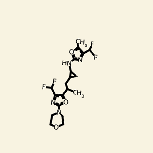 Cc1oc(NC2CC2CC(C)c2oc(N3CCOCC3)nc2C(F)F)nc1C(F)F